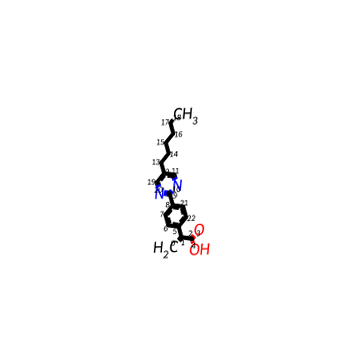 C=C(C(=O)O)c1ccc(-c2ncc(CCCCCC)cn2)cc1